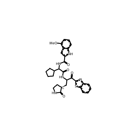 COc1cccc2[nH]c(C(=O)NC(C(=O)NC(C[C@@H]3CCNC3=O)C(=O)c3nc4ccccc4s3)C3CCCC3)cc12